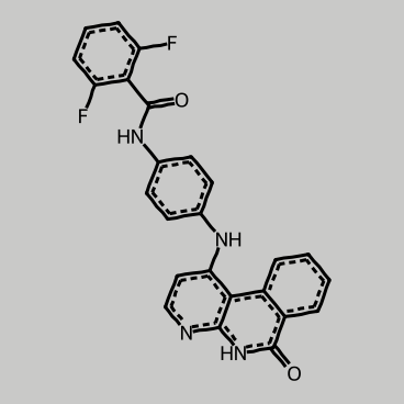 O=C(Nc1ccc(Nc2ccnc3[nH]c(=O)c4ccccc4c23)cc1)c1c(F)cccc1F